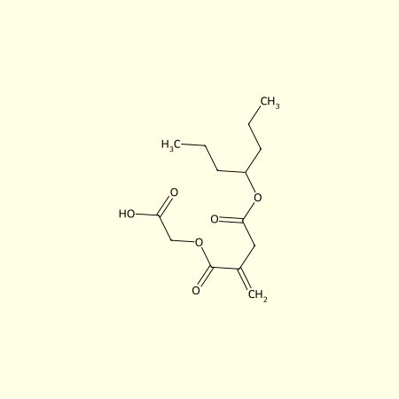 C=C(CC(=O)OC(CCC)CCC)C(=O)OCC(=O)O